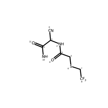 N#CC(NC(=O)CSCC(F)(F)F)C([NH])=O